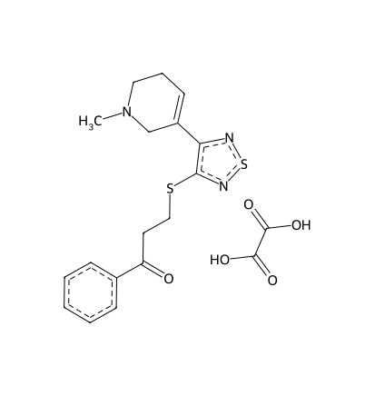 CN1CCC=C(c2nsnc2SCCC(=O)c2ccccc2)C1.O=C(O)C(=O)O